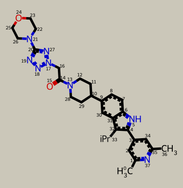 Cc1cc(-c2[nH]c3ccc(C4CCN(C(=O)Cn5nnc(N6CCOCC6)n5)CC4)cc3c2C(C)C)cc(C)n1